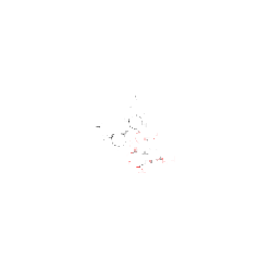 C=CCc1ccc(OC(=O)CCC(=O)O)c(-c2cc(CC=C)ccc2OC(=O)CCC(=O)O)c1